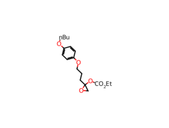 CCCCOc1ccc(OCCCC2(OC(=O)OCC)CO2)cc1